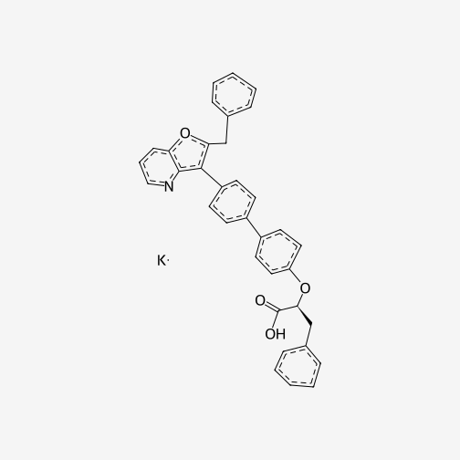 O=C(O)[C@H](Cc1ccccc1)Oc1ccc(-c2ccc(-c3c(Cc4ccccc4)oc4cccnc34)cc2)cc1.[K]